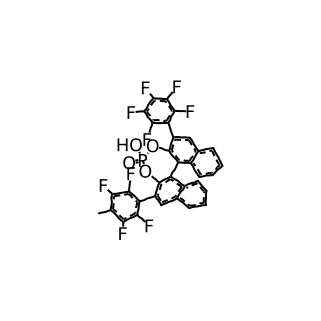 Cc1c(F)c(F)c(-c2cc3ccccc3c3c2OP(=O)(O)Oc2c(-c4c(F)c(F)c(F)c(F)c4F)cc4ccccc4c2-3)c(F)c1F